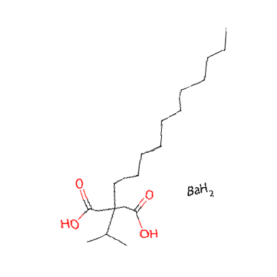 CCCCCCCCCCCC(C(=O)O)(C(=O)O)C(C)C.[BaH2]